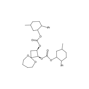 CC1CCC(C(C)C)C(OC(=O)O[C@@H]2[C@H](OC(=O)OC3CC(C)CCC3C(C)C)CC23OCCCCO3)C1